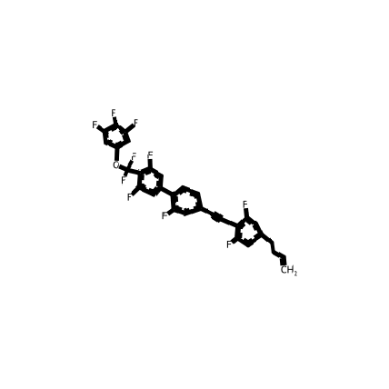 C=CCCc1cc(F)c(C#Cc2ccc(-c3cc(F)c(C(F)(F)Oc4cc(F)c(F)c(F)c4)c(F)c3)c(F)c2)c(F)c1